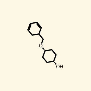 O[C@H]1CC[C@@H](OCC2C=CC=CC2)CC1